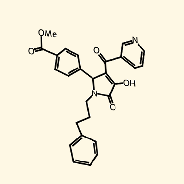 COC(=O)c1ccc(C2C(C(=O)c3cccnc3)=C(O)C(=O)N2CCCc2ccccc2)cc1